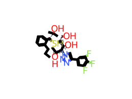 CCCc1ccccc1[C@@H]([SH]1C[C@H](O)[C@H](n2cc(-c3cc(F)c(F)c(F)c3)nn2)[C@@H](O)[C@H]1CO)C(C)(C)O